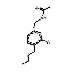 CCCCc1ccc(CNC(C)=N)cc1Cl